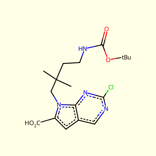 CC(C)(CCNC(=O)OC(C)(C)C)Cn1c(C(=O)O)cc2cnc(Cl)nc21